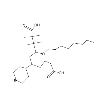 CCCCCCCCOC(CC(CCCC(=O)O)C1CCNCC1)C(C)(C)C(C)(C)C(=O)O